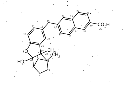 CC12CCC(C1)C1(C)Oc3ccc(Cc4ccc5cc(C(=O)O)ccc5c4)cc3C21C